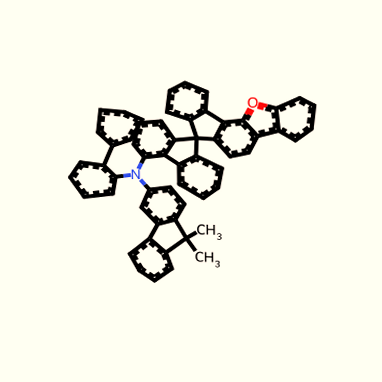 CC1(C)c2ccccc2-c2cc(N(c3ccccc3-c3ccccc3)c3cccc4c3-c3ccccc3C43c4ccccc4-c4c3ccc3c4oc4ccccc43)ccc21